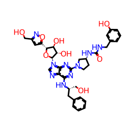 O=C(NCc1cccc(O)c1)N[C@@H]1CCN(c2nc(N[C@H](CO)Cc3ccccc3)c3ncn([C@@H]4O[C@H](c5cc(CO)no5)[C@@H](O)[C@@H]4O)c3n2)C1